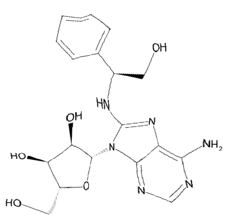 Nc1ncnc2c1nc(N[C@H](CO)c1ccccc1)n2[C@@H]1O[C@H](CO)[C@@H](O)[C@H]1O